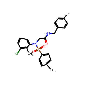 CCc1ccc(CNC(=O)CN(c2cccc(Cl)c2C)S(=O)(=O)c2ccc(C)cc2)cc1